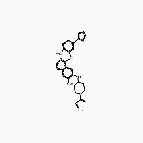 C=CC(=O)N1CCC(Nc2cc3c(Nc4cc(-c5ccco5)ccc4OC)ncnc3cc2OC)CC1